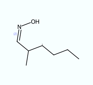 CCC[CH]C(C)/C=N\O